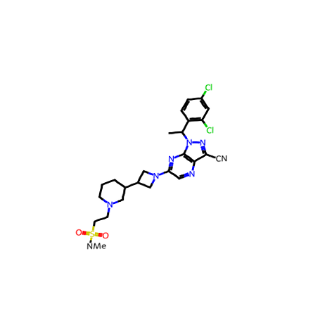 CNS(=O)(=O)CCN1CCCC(C2CN(c3cnc4c(C#N)nn(C(C)c5ccc(Cl)cc5Cl)c4n3)C2)C1